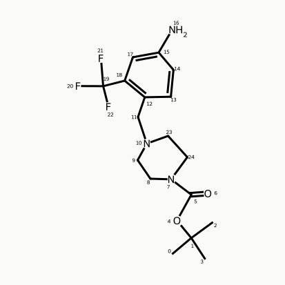 CC(C)(C)OC(=O)N1CCN(Cc2ccc(N)cc2C(F)(F)F)CC1